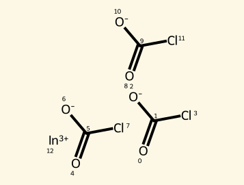 O=C([O-])Cl.O=C([O-])Cl.O=C([O-])Cl.[In+3]